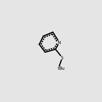 CC(C)(C)Sc1c[c]ccn1